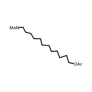 CNCCCCCCCCCCCCOC(C)=O